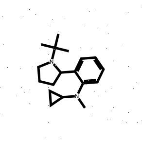 CN(c1ccccc1C1CCCN1C(C)(C)C)C1CC1